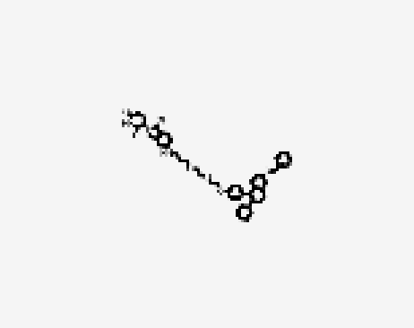 O=C1CC[C@H](N2Cc3cc(NCCCOCCOCCOc4ccc(C5=C(c6ccccc6)CCc6cc(OCc7ccccc7)ccc65)cc4)ccc3C2O)C(=O)N1